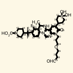 CC(Nc1ncnc2c1cc(C1CCS(O)(O)CC1)c(=O)n2CCCOCCCC=O)c1cccc(C(F)(F)C2CCN(C(=O)O)CC2)c1F